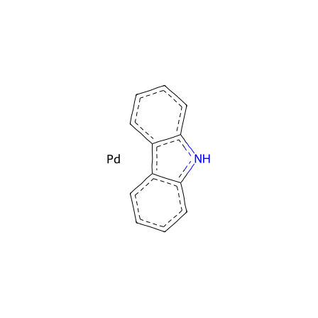 [Pd].c1ccc2c(c1)[nH]c1ccccc12